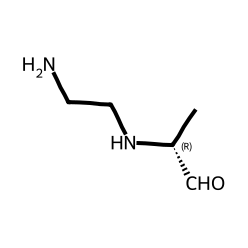 C[C@H](C=O)NCCN